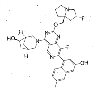 Cc1ccc2c(-c3ncc4c(N5C[C@@H]6C[C@H](C5)[C@H](O)C6)nc(OC[C@@]56CCCN5C[C@H](F)C6)nc4c3F)cc(O)cc2c1